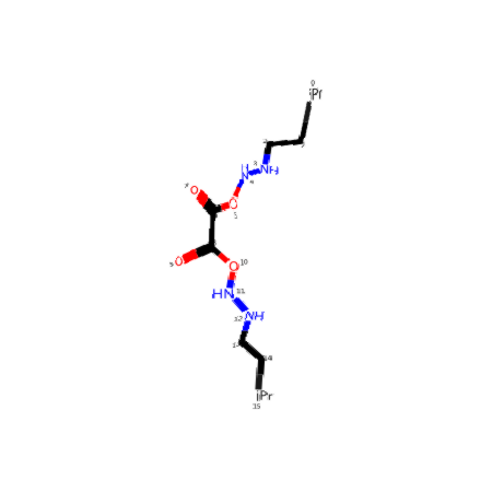 CC(C)CCNNOC(=O)C(=O)ONNCCC(C)C